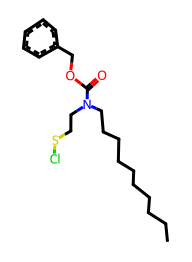 CCCCCCCCCCN(CCSCl)C(=O)OCc1ccccc1